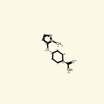 Cn1nccc1O[C@H]1CC[C@H](C(=O)O)CC1